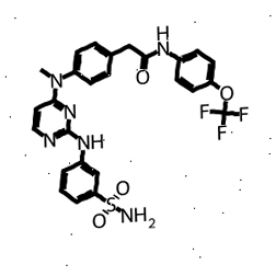 CN(c1ccc(CC(=O)Nc2ccc(OC(F)(F)F)cc2)cc1)c1ccnc(Nc2cccc(S(N)(=O)=O)c2)n1